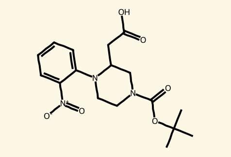 CC(C)(C)OC(=O)N1CCN(c2ccccc2[N+](=O)[O-])C(CC(=O)O)C1